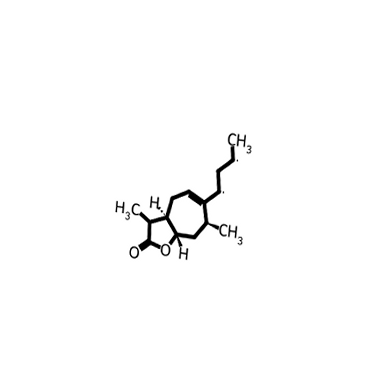 C[CH]C[CH]C1=CC[C@@H]2C(C)C(=O)O[C@H]2C[C@@H]1C